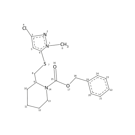 Cn1nc(Cl)cc1SCC1CCCCN1C(=O)OCc1ccccc1